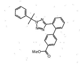 COC(=O)c1ccc(-c2ccccc2-c2nnn(C(C)(C)c3ccccc3)n2)cc1